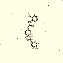 CCc1ccccc1NC(=O)ON1CCC2(CC1)CC(c1ccc(C)cc1)=NO2